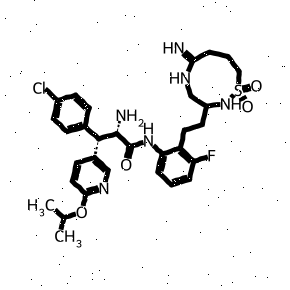 CC(C)Oc1ccc([C@H](c2ccc(Cl)cc2)[C@H](N)C(=O)Nc2cccc(F)c2CCC2CNC(=N)CCCS(=O)(=O)N2)cn1